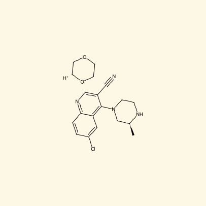 C1COCCO1.C[C@H]1CN(c2c(C#N)cnc3ccc(Cl)cc23)CCN1.[H+]